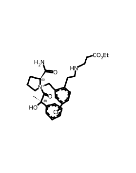 CCOC(=O)CCNCCc1ccc(Cl)cc1C[N+]1(C(=O)[C@](C)(O)c2ccccc2)CCC[C@H]1C(N)=O